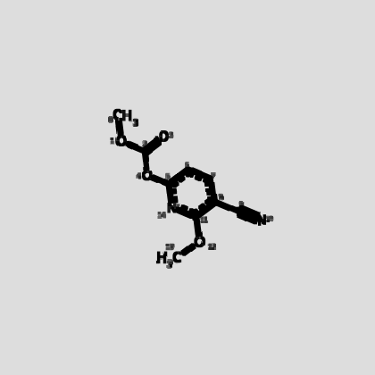 COC(=O)Oc1ccc(C#N)c(OC)n1